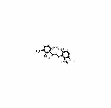 Nc1ccc(C(F)(F)F)c(N)c1COCc1c(N)ccc(C(F)(F)F)c1N